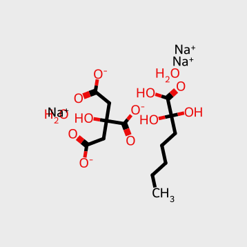 CCCCCC(O)(O)C(=O)O.O.O.O=C([O-])CC(O)(CC(=O)[O-])C(=O)[O-].[Na+].[Na+].[Na+]